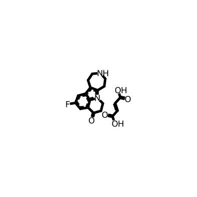 O=C(O)C=CC(=O)O.O=C1CCn2c3c(c4cc(F)cc1c42)CCNCC3